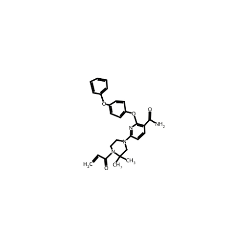 C=CC(=O)N1CCN(c2ccc(C(N)=O)c(Oc3ccc(Oc4ccccc4)cc3)n2)CC1(C)C